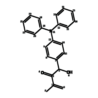 C=C(C)C(=O)C(O)c1ccc(N(c2ccccc2)c2ccccc2)cc1